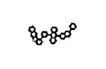 c1ccc(-c2ccc3ccc(-c4c5ccccc5c(-c5cccc(-c6cccc7sc8cc9ccccc9cc8c67)c5)c5ccccc45)cc3c2)cc1